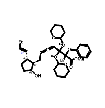 CC/C=C/[C@H]1CC[C@H](O)[C@@H]1CC=C=CC([16O]C1CCCCO1)([16O]C1CCCCO1)C(Br)(Oc1ccccc1)C(=O)OC